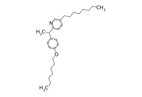 CCCCCCCCc1ccc(C(C)c2ccc(OCCCCCCC)cc2)nc1